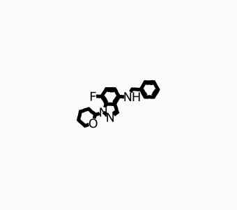 Fc1ccc(NCc2ccccc2)c2cnn(C3CCCCO3)c12